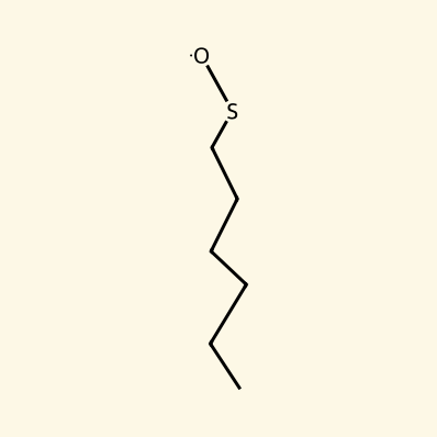 CCCCCCS[O]